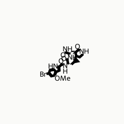 COc1cc(Br)cc2[nH]c(C(=O)N[C@@H](CC3CC3)C(=O)N[C@@H](C[C@@H]3CCCNC3=O)C(N)=O)cc12